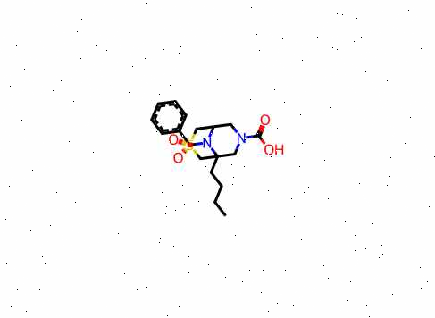 CCCCC12CN(C(=O)O)CC(CS(=O)(=O)C1)N2Cc1ccccc1